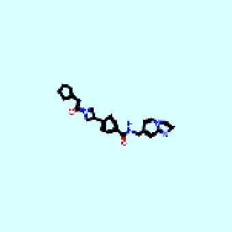 O=C(NCc1ccn2ccnc2c1)c1ccc(C2CN(C(=O)CC3CCCC3)C2)cc1